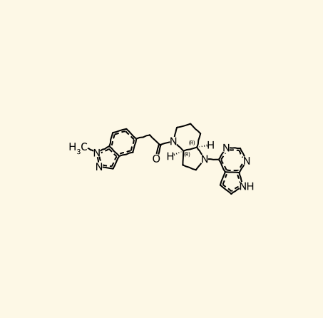 Cn1ncc2cc(CC(=O)N3CCC[C@@H]4[C@H]3CCN4c3ncnc4[nH]ccc34)ccc21